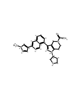 CC(=O)N1CCc2c(c(-c3cccc4cc(-c5cnn(C)c5)ncc34)nn2[C@H]2CCOC2)C1